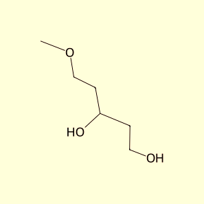 COCCC(O)CCO